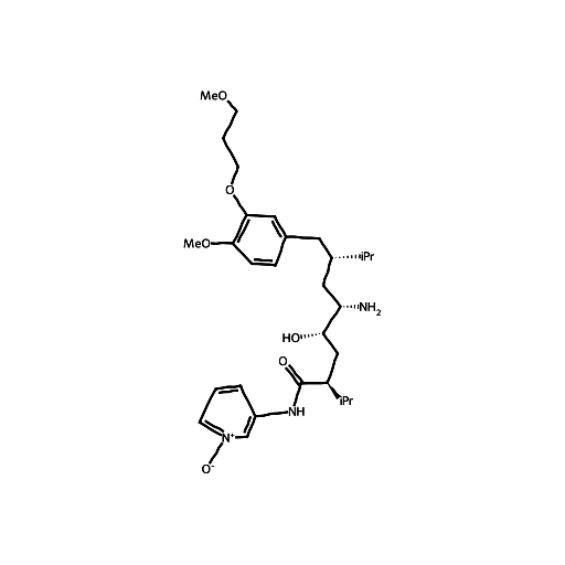 COCCCOc1cc(C[C@@H](C[C@H](N)[C@@H](O)C[C@H](C(=O)Nc2ccc[n+]([O-])c2)C(C)C)C(C)C)ccc1OC